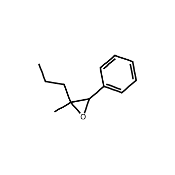 CCCC1(C)OC1c1ccccc1